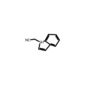 N#CC[SH]1C=Cc2ccccc21